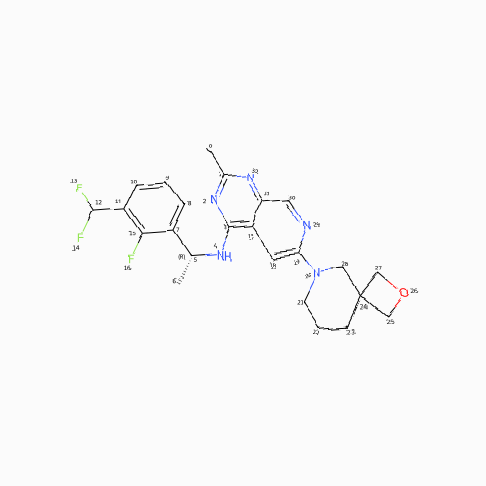 Cc1nc(N[C@H](C)c2cccc(C(F)F)c2F)c2cc(N3CCCC4(COC4)C3)ncc2n1